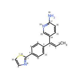 CC=C(c1ccc(-c2nccs2)cc1)c1ccc(N)nc1